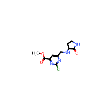 COC(=O)c1cc(CNC2CCNC2=O)nc(Cl)n1